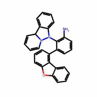 Nc1cccc(-c2cccc3oc4ccccc4c23)c1N1c2ccccc2C2C=CC=CN21